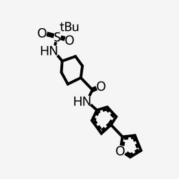 CC(C)(C)S(=O)(=O)NC1CCC(C(=O)Nc2ccc(-c3ccco3)cc2)CC1